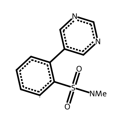 CNS(=O)(=O)c1[c]cccc1-c1cncnc1